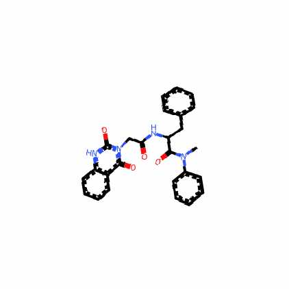 CN(C(=O)C(Cc1ccccc1)NC(=O)Cn1c(=O)[nH]c2ccccc2c1=O)c1ccccc1